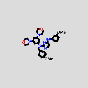 COc1ccc(CN(c2cc(N3CCOCC3)cc(N3CCOCC3)c2)c2nccc(Nc3cccc(OC)c3)n2)cc1